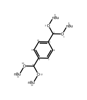 CCCCOC(OCCCC)c1ccc(C(OCCCC)OCCCC)cc1